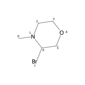 CN1CCO[CH]C1Br